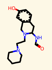 O=CNC1Cc2ccc(O)cc2CN1CCN1CCCCC1